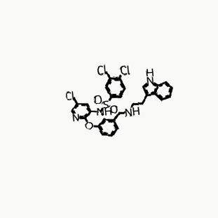 O=S(=O)(Nc1cc(Cl)cnc1Oc1cccc(CNCCc2c[nH]c3ccccc23)c1)c1ccc(Cl)c(Cl)c1